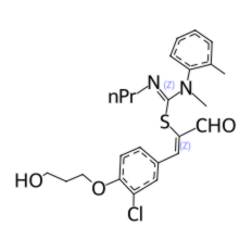 CCC/N=C(\S/C(C=O)=C\c1ccc(OCCCO)c(Cl)c1)N(C)c1ccccc1C